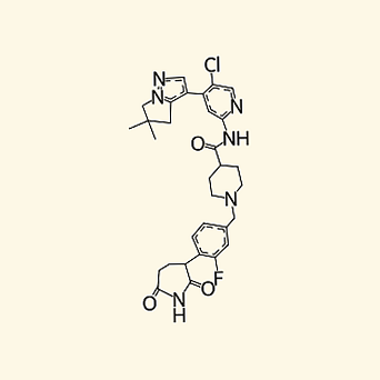 CC1(C)Cc2c(-c3cc(NC(=O)C4CCN(Cc5ccc(C6CCC(=O)NC6=O)c(F)c5)CC4)ncc3Cl)cnn2C1